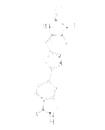 O=C1NC(=S)N/C1=C/c1ccc(-c2ccc3c(c2)CNC3=O)s1